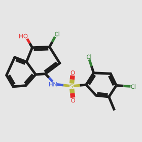 Cc1cc(S(=O)(=O)Nc2cc(Cl)c(O)c3ccccc23)c(Cl)cc1Cl